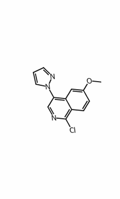 COc1ccc2c(Cl)ncc(-n3cccn3)c2c1